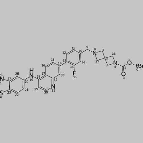 CC(C)(C)OC(=O)N1CC2(CN(Cc3ccc(-c4ccc5c(Nc6ccc7scnc7c6)ccnc5c4)c(F)c3)C2)C1